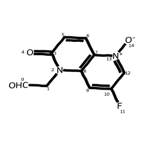 O=CCn1c(=O)ccc2c1cc(F)c[n+]2[O-]